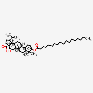 C=C(C)[C@@H]1CC[C@]2(C(=O)O)CC[C@]3(C)[C@H](CC[C@@H]4[C@@]5(C)CC[C@H](OC(=O)CCCCCCCCCCCCCCCCC)C(C)(C)[C@@H]5CC[C@]43C)[C@@H]12